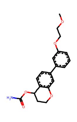 COCCOc1cccc(-c2ccc3c(c2)OCCC3OC(N)=O)c1